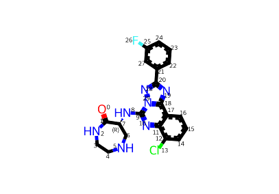 O=C1NCCNC[C@H]1Nc1nc2c(Cl)cccc2c2nc(-c3cccc(F)c3)nn12